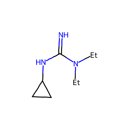 CCN(CC)C(=N)NC1CC1